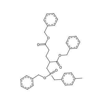 Cc1ccc(CP(=O)(CC(CCC(=O)OCc2ccccc2)C(=O)OCc2ccccc2)OCc2ccccc2)cc1